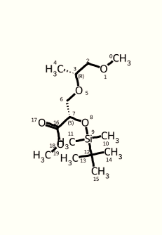 COC[C@@H](C)OC[C@H](O[Si](C)(C)C(C)(C)C)C(=O)OC